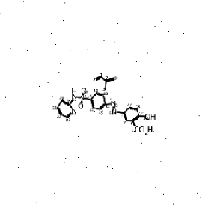 C=CC(=C)C.O=C(O)c1cc(N=Nc2ccc(S(=O)(=O)Nc3ccccn3)cc2)ccc1O